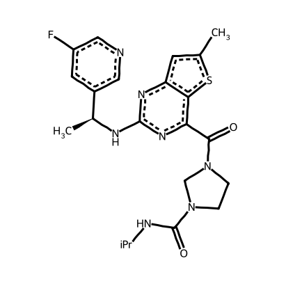 Cc1cc2nc(N[C@@H](C)c3cncc(F)c3)nc(C(=O)N3CCN(C(=O)NC(C)C)C3)c2s1